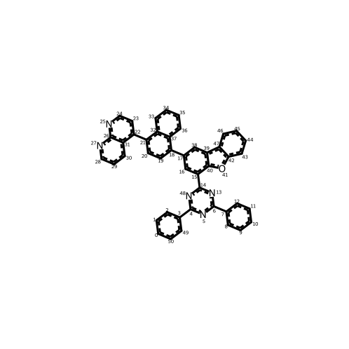 c1ccc(-c2nc(-c3ccccc3)nc(-c3cc(-c4ccc(-c5ccnc6ncccc56)c5ccccc45)cc4c3oc3ccccc34)n2)cc1